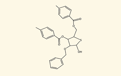 Cc1ccc(C(=O)OCC2SC(O)C(OCc3ccccc3)C2OC(=O)c2ccc(C)cc2)cc1